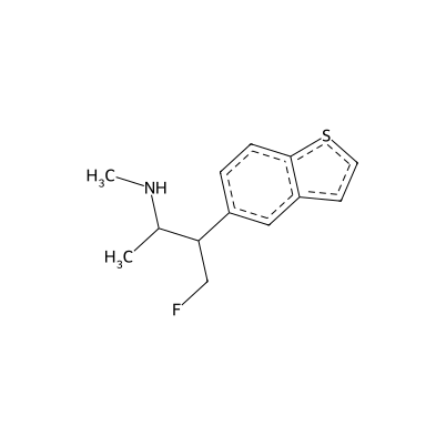 CNC(C)C(CF)c1ccc2sccc2c1